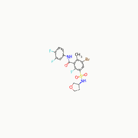 Cc1c(Br)cc(S(=O)(=O)N[C@H]2CCOC2)c(F)c1C(=O)Nc1ccc(F)c(F)c1